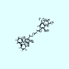 CCCc1c(OCCOCCN2C(=O)NC(c3ccccc3)(c3ccccc3C)C2=O)ccc2c(C(F)(F)F)cc(=O)oc12